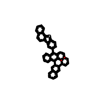 c1ccc(-c2cc3ccccc3cc2-c2c3ccccc3c(-c3ccc4oc5c6ccccc6ccc5c4c3)c3ccccc23)cc1